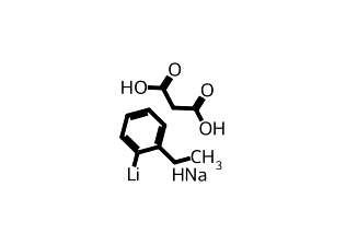 O=C(O)CC(=O)O.[Li][c]1ccccc1CC.[NaH]